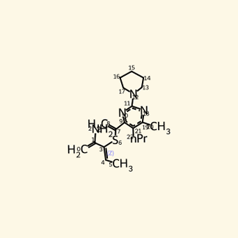 C=C(N)/C(=C/C)SC(=C)c1nc(N2CCCCC2)nc(C)c1CCC